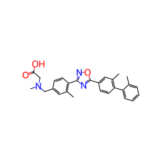 Cc1cc(CN(C)CC(=O)O)ccc1-c1noc(-c2ccc(-c3ccccc3C)c(C)c2)n1